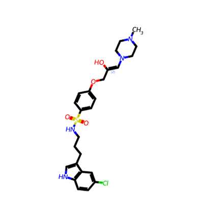 CN1CCN(/C=C(\O)COc2ccc(S(=O)(=O)NCCCc3c[nH]c4ccc(Cl)cc34)cc2)CC1